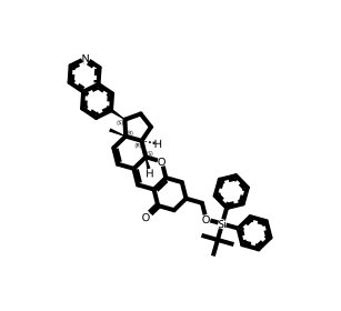 CC(C)(C)[Si](OCC1CC(=O)C2=C(C1)O[C@@H]1C(=C2)C=C[C@]2(C)[C@@H](c3ccc4ccncc4c3)CC[C@@H]12)(c1ccccc1)c1ccccc1